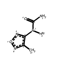 CCCN(C(N)=O)c1nonc1C